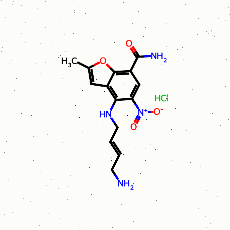 Cc1cc2c(NCC=CCN)c([N+](=O)[O-])cc(C(N)=O)c2o1.Cl